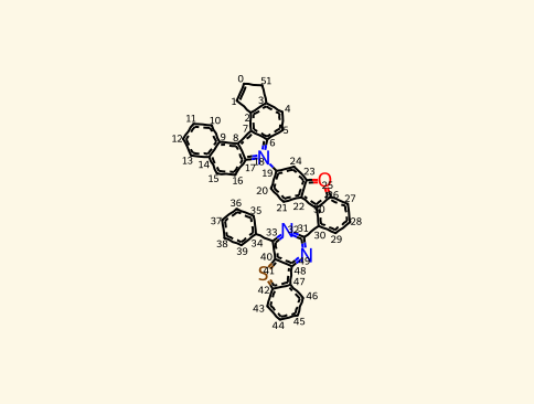 C1=Cc2c(ccc3c2c2c4ccccc4ccc2n3-c2ccc3c(c2)oc2cccc(-c4nc(-c5ccccc5)c5sc6ccccc6c5n4)c23)C1